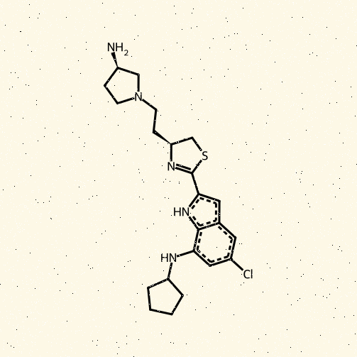 N[C@@H]1CCN(CC[C@H]2CSC(c3cc4cc(Cl)cc(NC5CCCC5)c4[nH]3)=N2)C1